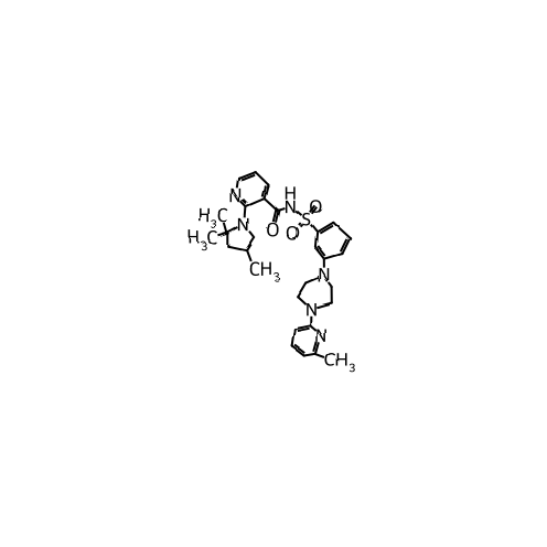 Cc1cccc(N2CCN(c3cccc(S(=O)(=O)NC(=O)c4cccnc4N4CC(C)CC4(C)C)c3)CC2)n1